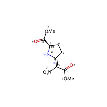 COC(=O)/C(=C1\CC[C@H](C(=O)OC)N1)[N+](=O)[O-]